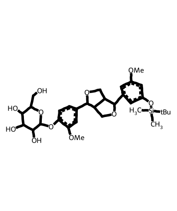 COc1cc(O[Si](C)(C)C(C)(C)C)cc(C2OCC3C(c4ccc(OC5OC(CO)C(O)C(O)C5O)c(OC)c4)OCC23)c1